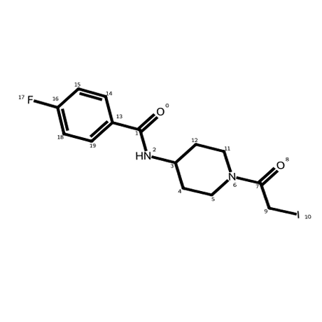 O=C(NC1CCN(C(=O)CI)CC1)c1ccc(F)cc1